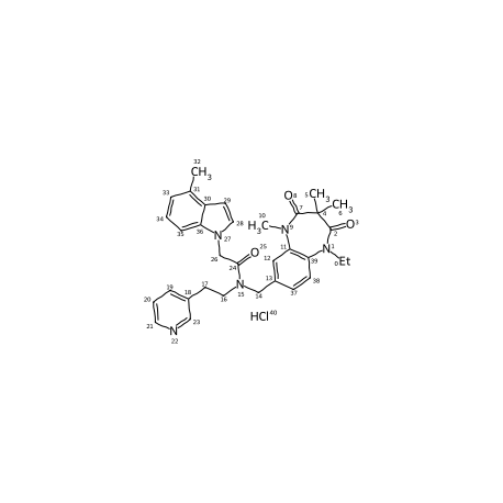 CCN1C(=O)C(C)(C)C(=O)N(C)c2cc(CN(CCc3cccnc3)C(=O)Cn3ccc4c(C)cccc43)ccc21.Cl